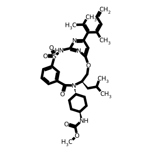 C=C/C=C(/C)C(=C(C)C)c1cc2nc(n1)NS(=O)(=O)c1cccc(c1)C(=O)N([C@H]1CC[C@H](NC(=O)OC)CC1)[C@H](CC(C)C)CO2